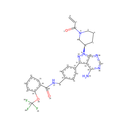 C=CC(=O)N1CCC[C@@H](n2nc(-c3ccc(CNC(=O)c4ccccc4OC(F)(F)F)cc3)c3c(N)ncnc32)C1